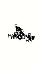 CC(C)(C)N1CCC1C(=O)NC[C@H]1CN(S(=O)(=O)c2ccc(F)cc2)c2cc(NC(=O)O)ccc2O1